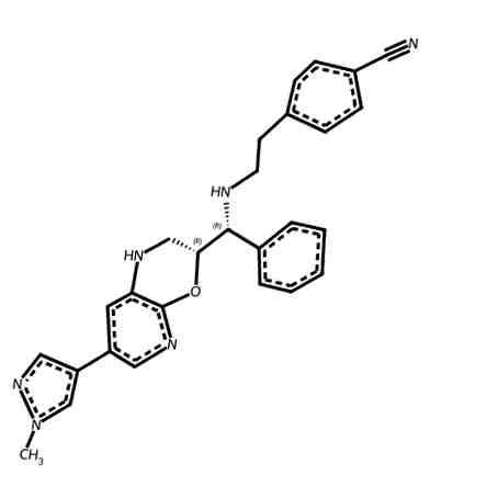 Cn1cc(-c2cnc3c(c2)NC[C@H]([C@H](NCCc2ccc(C#N)cc2)c2ccccc2)O3)cn1